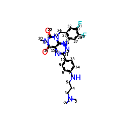 CN(C)CCCNc1ccc(-c2nnc3c(n2)c(=O)n(C)c(=O)n3Cc2ccc(F)c(F)c2)cc1